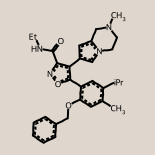 CCNC(=O)c1noc(-c2cc(C(C)C)c(C)cc2OCc2ccccc2)c1-c1cc2n(c1)CCN(C)C2